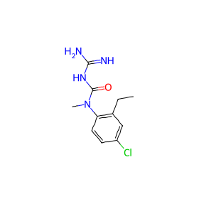 CCc1cc(Cl)ccc1N(C)C(=O)NC(=N)N